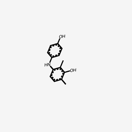 Cc1ccc(Nc2ccc(O)cc2)c(C)c1O